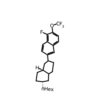 CCCCCC[C@@H]1CC[C@@H]2CC(c3ccc4c(F)c(OC(F)(F)F)ccc4c3)CCC2C1